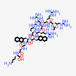 CC(=O)N[C@@H](CCCNC(=N)N)C(=O)N[C@@H](CCCNC(=N)N)C(=O)N[C@@H](CCCNC(=N)N)C(=O)N[C@@H](CCCNC(=N)N)C(=O)N[C@@H](CCCNC(=N)N)C(=O)N[C@@H](Cc1ccc2ccccc2c1)C(=O)N[C@H](Cc1ccc2ccccc2c1)C(=O)NCC(=O)NCC(=O)N[C@@H](CCCCN)C(=O)O